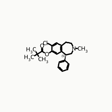 CN1CCc2cc(Cl)c(OC(=O)C(C)(C)C)cc2[C@H](c2ccccc2)C1